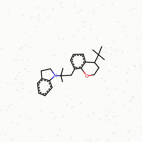 CC(C)(C)C1CCOc2c(CC(C)(C)N3CCc4ccccc43)cccc21